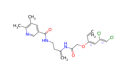 C=C/C(=C\C(Cl)=C\Cl)OCC(=O)NC(=C)CCNC(=O)c1cnc(C)c(C)c1